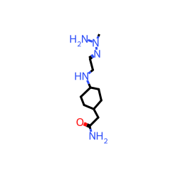 CN(N)N=CCNC1CCC(CC(N)=O)CC1